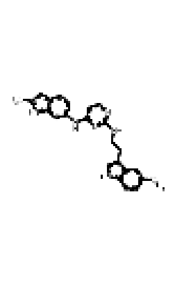 CCOc1ccc2[nH]cc(CCNc3nccc(Nc4ccc5cc(C)[nH]c5c4)n3)c2c1